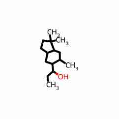 CCC(O)C1CC2CCC(C)(C)C2CC1C